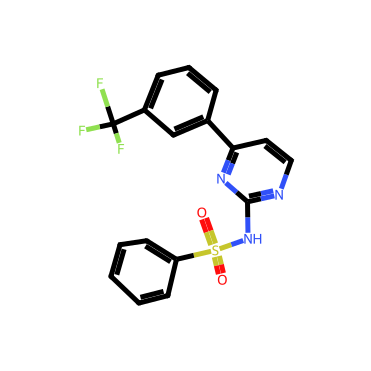 O=S(=O)(Nc1nccc(-c2cccc(C(F)(F)F)c2)n1)c1ccccc1